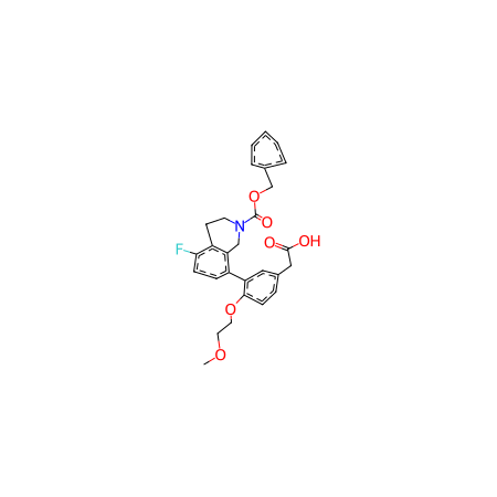 COCCOc1ccc(CC(=O)O)cc1-c1ccc(F)c2c1CN(C(=O)OCc1ccccc1)CC2